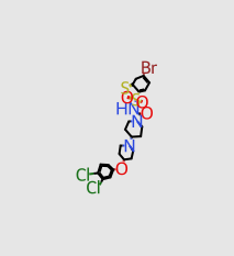 O=C(NS(=O)(=O)C1=CC=C(Br)CC1=S)N1CCC(N2CCC(Oc3ccc(Cl)c(Cl)c3)CC2)CC1